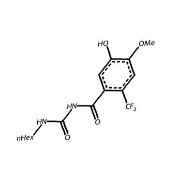 CCCCCCNC(=O)NC(=O)c1cc(O)c(OC)cc1C(F)(F)F